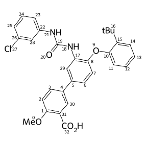 COc1ccc(-c2ccc(Oc3ccccc3C(C)(C)C)c(NC(=O)Nc3cccc(Cl)c3)c2)cc1C(=O)O